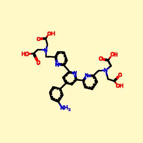 Nc1cccc(-c2cc(-c3cccc(CN(CC(=O)O)CC(=O)O)n3)nc(-c3cccc(CN(CC(=O)O)CC(=O)O)n3)c2)c1